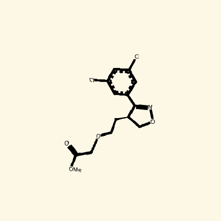 COC(=O)COCC[C@@H]1CON=C1c1cc(Cl)cc(Cl)c1